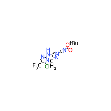 Cc1nn(C2CN(C(=O)OC(C)(C)C)C2)cc1Nc1ncc(C(F)(F)F)c(Cl)n1